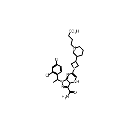 CC(c1ccc(Cl)cc1Cl)N1N=C(C(N)=O)C2NC=C(N3CC(C4CCCN(CCCC(=O)O)C4)C3)N=C21